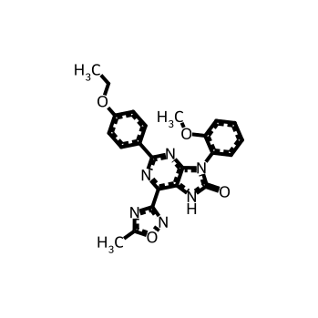 CCOc1ccc(-c2nc(-c3noc(C)n3)c3[nH]c(=O)n(-c4ccccc4OC)c3n2)cc1